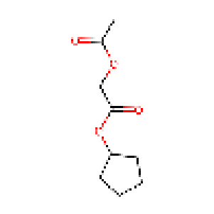 [CH2]C(=O)OCC(=O)OC1CCCC1